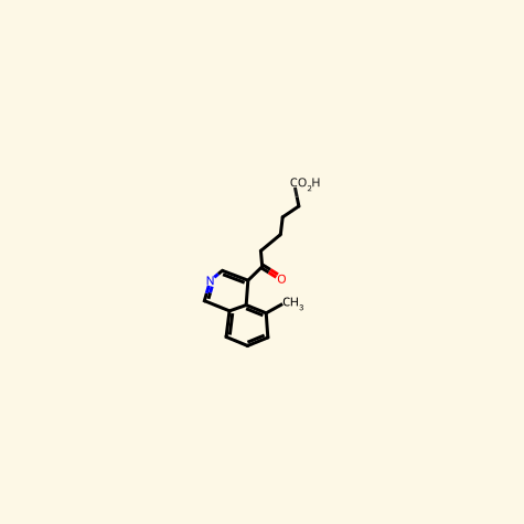 Cc1cccc2cncc(C(=O)CCCCC(=O)O)c12